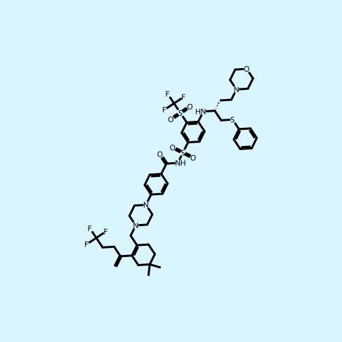 C=C(CCC(F)(F)F)C1=C(CN2CCN(c3ccc(C(=O)NS(=O)(=O)c4ccc(N[C@H](CCN5CCOCC5)CSc5ccccc5)c(S(=O)(=O)C(F)(F)F)c4)cc3)CC2)CCC(C)(C)C1